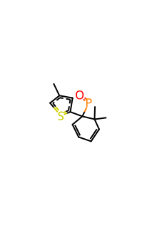 Cc1csc(C2(P=O)C=CC=CC2(C)C)c1